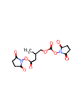 CC(COC(=O)ON1C(=O)CCC1=O)CC(=O)ON1C(=O)CCC1=O